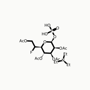 CC(=O)OCC(F)[C@H]1O[C@@H](OP(=O)(O)O)[C@@H](OC(C)=O)[C@@H](OC(C)=O)[C@@H]1OC(C)=O.CCN(CC)CC